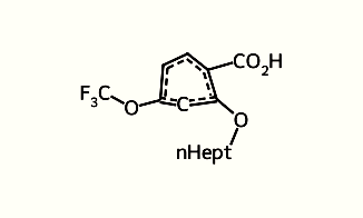 CCCCCCCOc1cc(OC(F)(F)F)ccc1C(=O)O